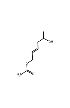 CC(O)CC=CCOC(N)=O